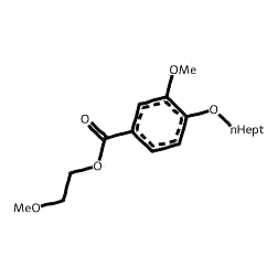 CCCCCCCOc1ccc(C(=O)OCCOC)cc1OC